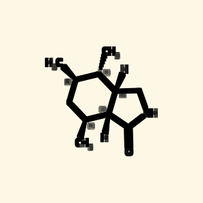 C[C@@H]1[C@@H]2CNC(=O)[C@@H]2[C@@H](C)C[C@H]1C